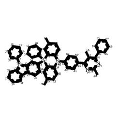 Cc1ccc2c(c1)S(c1ccccc1)(c1ccc3c4ccccc4n(-c4ccccc4)c3c1)c1cc(C)ccc1N2c1ccc(-c2nc(C)nc(-c3ccccc3)c2C)cc1